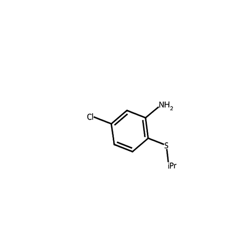 CC(C)Sc1ccc(Cl)cc1N